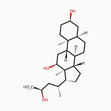 C[C@H](C[C@@H](O)C(=O)O)[C@H]1CC[C@H]2[C@@H]3CC[C@@H]4C[C@H](O)CC[C@]4(C)[C@H]3C[C@H](O)[C@]12C